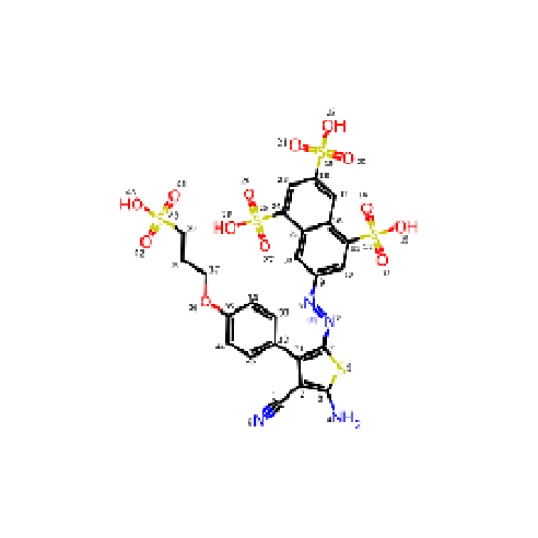 N#Cc1c(N)sc(/N=N/c2cc(S(=O)(=O)O)c3cc(S(=O)(=O)O)cc(S(=O)(=O)O)c3c2)c1-c1ccc(OCCCS(=O)(=O)O)cc1